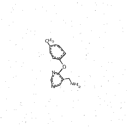 Cc1ccc(Oc2ncncc2CN)cc1